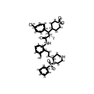 C[C@H](C(=O)Nc1cccc(F)c1CC[C@H]1CNCCN1S(=O)(=O)c1ccccc1)C(c1ccc(Cl)cc1)C1CCS(=O)(=O)CC1